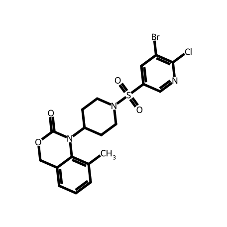 Cc1cccc2c1N(C1CCN(S(=O)(=O)c3cnc(Cl)c(Br)c3)CC1)C(=O)OC2